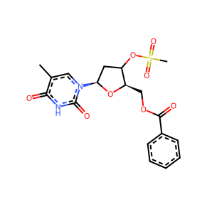 Cc1cn([C@H]2CC(OS(C)(=O)=O)[C@@H](COC(=O)c3ccccc3)O2)c(=O)[nH]c1=O